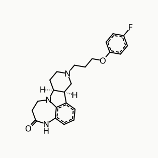 O=C1CCN2c3c(cccc3[C@@H]3CN(CCCOc4ccc(F)cc4)CC[C@@H]32)N1